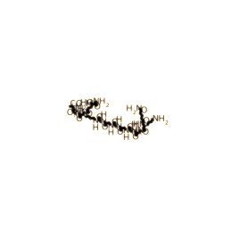 C[C@@H](NC(=O)[C@@H](C)NC(=O)[C@H](CCCCNC(=O)CNC(=O)CNC(=O)CNC(=O)CNC(=O)CNC(=O)[C@@H](C)NC(=O)[C@H](CCCCN)NC(=O)CCCC(N)=O)NC(=O)CCC(O)C(N)=O)C(=O)O